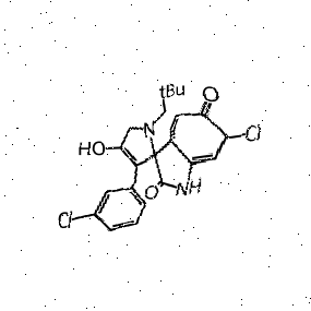 CC(C)(C)CN1CC(O)=C(c2cccc(Cl)c2)C12C(=O)NC1=CC(Cl)C(=O)C=C12